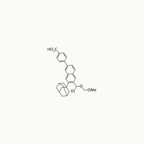 CCC(OCOC)c1cc2ccc(-c3ccc(C(=O)O)cc3)cc2cc1C12CC3CC(CC(C3)C1)C2